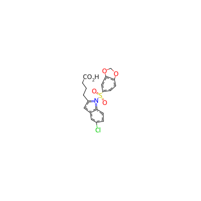 O=C(O)CCCc1cc2cc(Cl)ccc2n1S(=O)(=O)c1ccc2c(c1)OCO2